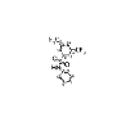 O=S(=O)(Nc1[c]cccc1)c1cc(C(F)(F)F)cc(C(F)(F)F)c1